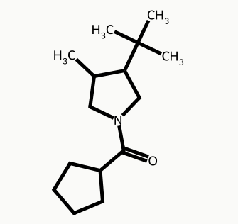 CC1CN(C(=O)C2CCCC2)CC1C(C)(C)C